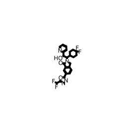 O=C1c2cc(-c3nnc(C(F)F)o3)ccc2CN1C(C1CCC(F)(F)CC1)C(O)c1ccccn1